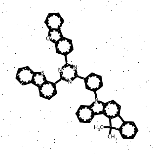 CC1(C)c2ccccc2-c2ccc3c(c21)c1ccccc1n3-c1cccc(-c2nc(-c3ccc4c(c3)oc3ccccc34)nc(-c3cccc4c3sc3ccccc34)n2)c1